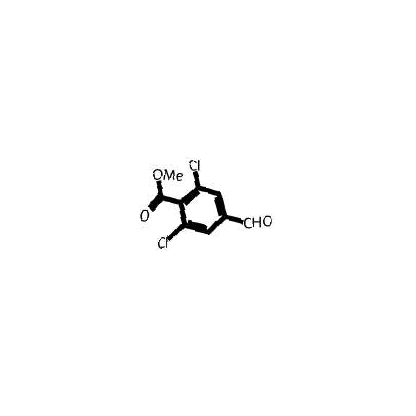 COC(=O)c1c(Cl)cc(C=O)cc1Cl